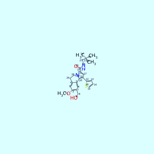 COc1cc2c(cc1CO)-c1c(-c3cccs3)cc(C(=O)NCC(C)(C)C)n1CC2